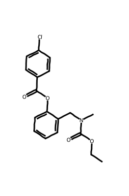 CCOC(=O)N(C)Cc1ccccc1OC(=O)c1ccc(Cl)cc1